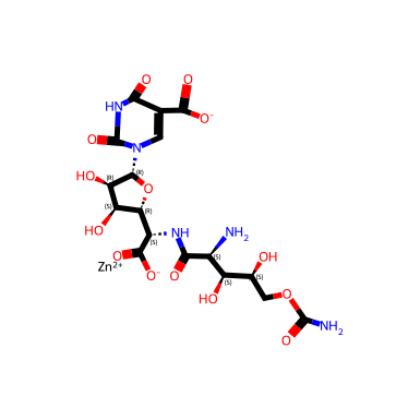 NC(=O)OC[C@H](O)[C@@H](O)[C@H](N)C(=O)N[C@H](C(=O)[O-])[C@H]1O[C@@H](n2cc(C(=O)[O-])c(=O)[nH]c2=O)[C@H](O)[C@@H]1O.[Zn+2]